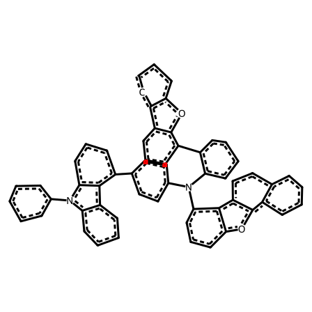 c1ccc(-n2c3ccccc3c3c(-c4ccc(N(c5ccccc5-c5cccc6c5oc5ccccc56)c5cccc6oc7c8ccccc8ccc7c56)cc4)cccc32)cc1